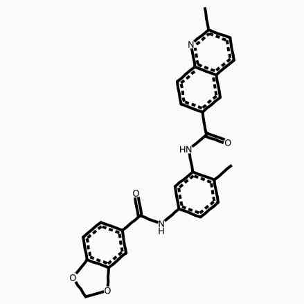 Cc1ccc2cc(C(=O)Nc3cc(NC(=O)c4ccc5c(c4)OCO5)ccc3C)ccc2n1